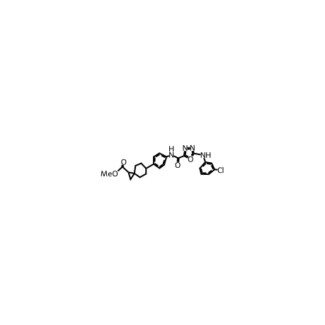 COC(=O)C1CC12CCC(c1ccc(NC(=O)c3nnc(Nc4cccc(Cl)c4)o3)cc1)CC2